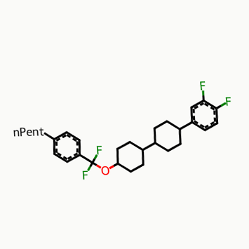 CCCCCc1ccc(C(F)(F)OC2CCC(C3CCC(c4ccc(F)c(F)c4)CC3)CC2)cc1